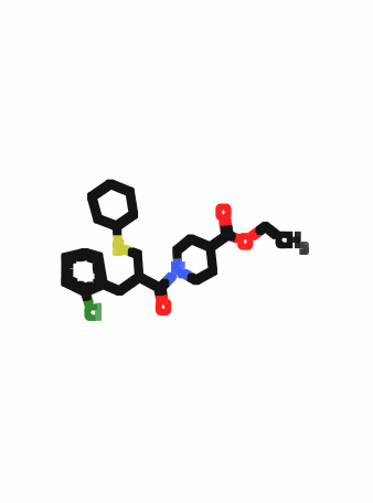 CCOC(=O)C1CCN(C(=O)C(CSC2CCCCC2)Cc2ccccc2Cl)CC1